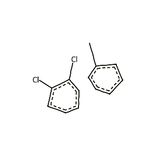 Cc1ccccc1.Clc1ccccc1Cl